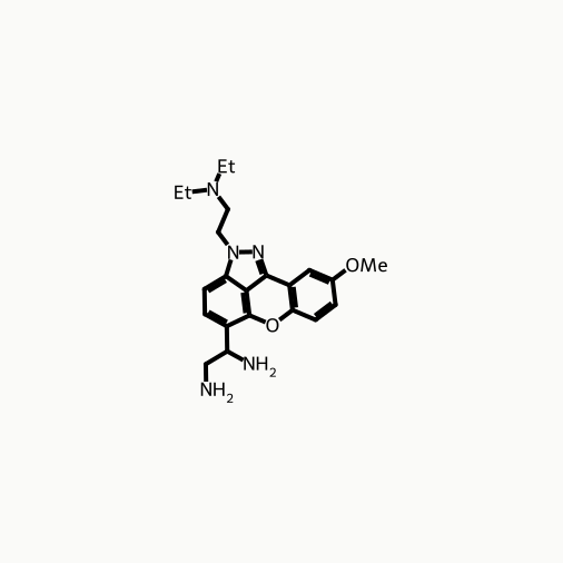 CCN(CC)CCn1nc2c3c(c(C(N)CN)ccc31)Oc1ccc(OC)cc1-2